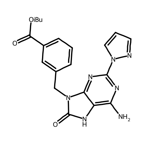 CC(C)COC(=O)c1cccc(Cn2c(=O)[nH]c3c(N)nc(-n4cccn4)nc32)c1